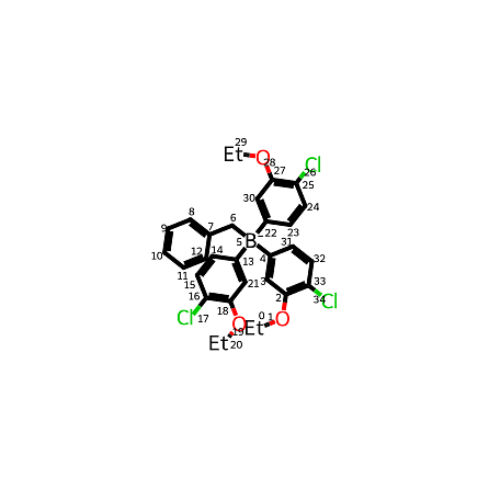 CCOc1cc([B-](Cc2ccccc2)(c2ccc(Cl)c(OCC)c2)c2ccc(Cl)c(OCC)c2)ccc1Cl